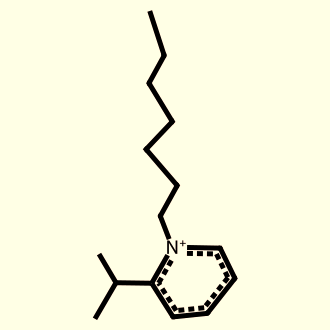 CCCCCCC[n+]1ccccc1C(C)C